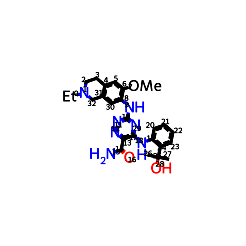 CCN1CCc2cc(OC)c(Nc3nnc(C(N)=O)c(Nc4ccccc4C(C)(C)O)n3)cc2C1